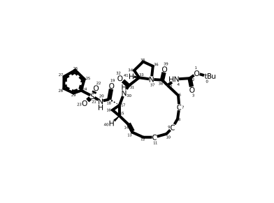 CC(C)(C)OC(=O)NC1CCCCCCC/C=C\[C@@H]2C[C@@]2(C(=O)NS(=O)(=O)c2ccccc2)NC(=O)[C@@H]2CCCN2C1=O